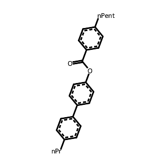 CCCCCc1ccc(C(=O)Oc2ccc(-c3ccc(CCC)cc3)cc2)cc1